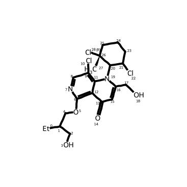 CCC(CO)COc1ncc(Cl)c2c1c(=O)cc(CO)n2C1C(Cl)CCC[C@@]1(C)Cl